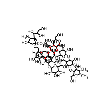 CC1C(O)[C@H](O[C@@H]2OC(CO)[C@H](O)C(O)[C@@H]2O)[C@H](CO)O[C@H]1O[C@@H]1C(O)[C@H](O)C(CO)O[C@@H]1OCC1O[C@@H](O[C@@H]2C(CO)O[C@@H](O[C@@H]3C(CO)O[C@@H](C)[C@@H](C)C3O)[C@@H](C)C2O)[C@H](O)C(O[C@H]2O[C@H](CO)[C@@H](O)C(O)C2O[C@@H]2OC(CO)[C@H](O[C@@H]3OC(CO[C@]4(C(=O)O)C[C@@H](O)[C@@H](N)C(C(O)C(O)CO)O4)[C@H](I)C(O)[C@@H]3O)C(O)[C@@H]2C)[C@@H]1O